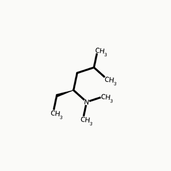 CC[C@@H](CC(C)C)N(C)C